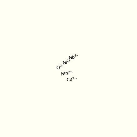 [Cu+2].[Mn+2].[Nb+5].[Ni+2].[O-2]